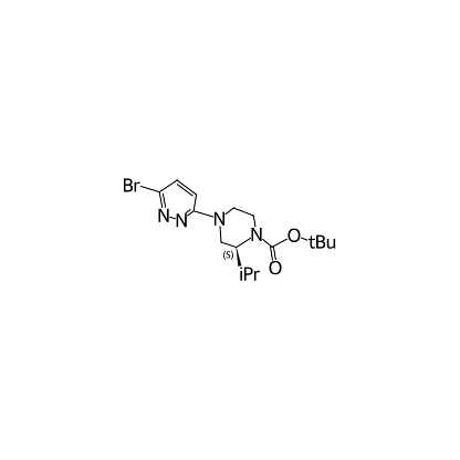 CC(C)[C@H]1CN(c2ccc(Br)nn2)CCN1C(=O)OC(C)(C)C